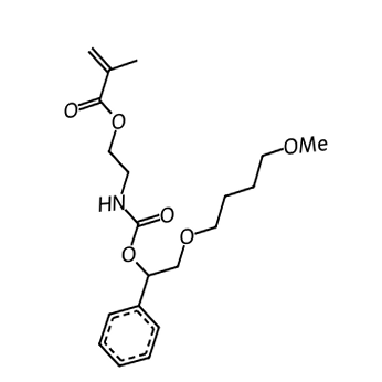 C=C(C)C(=O)OCCNC(=O)OC(COCCCCOC)c1ccccc1